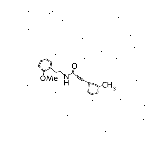 COc1ccccc1CCNC(=O)C#Cc1cccc(C)c1